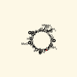 CCCC[C@H]1C(=O)N(C)[C@@H](CCCC)C(=O)N[C@@H](CCCNC(=N)N)C(=O)N[C@H](C(=O)NCC(N)=O)CSCC(=O)N[C@@H](Cc2ccccc2)C(=O)N(C)[C@@H](C)C(=O)N[C@@H](CC(N)=O)C(=O)N2CCC[C@H]2C(=O)N[C@@H](Cc2cnc[nH]2)C(=O)N[C@@H](CC(C)C)C(=O)N(C)CC(=O)N[C@@H](Cc2cccc(OC)c2)C(=O)N[C@@H](CO)C(=O)N[C@@H](Cc2c[nH]c3ccccc23)C(=O)N1C